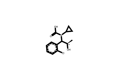 C[C@@H](O)C(c1ccccc1Cl)N(C(=O)O)C1CC1